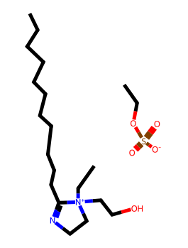 CCCCCCCCCCCC1=NCC[N+]1(CC)CCO.CCOS(=O)(=O)[O-]